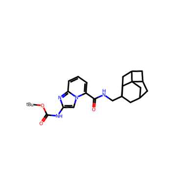 CC(C)(C)OC(=O)Nc1cn2c(C(=O)NCC34CC5CC6CC(C3)C6(C5)C4)cccc2n1